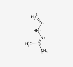 C=CNN=C(C)C